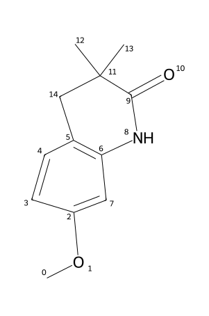 COc1ccc2c(c1)NC(=O)C(C)(C)C2